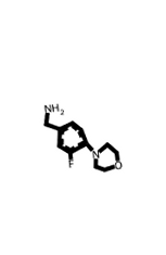 NCc1ccc(N2CCOCC2)c(F)c1